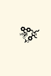 CCCC1=NC(CC)=C(c2ccc(OC(C)C)cc2)CN1Cc1ccc(-c2ccccc2-c2noc(=O)[nH]2)cc1